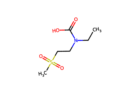 CCN(CCS(C)(=O)=O)C(=O)O